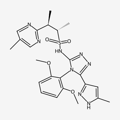 COc1cccc(OC)c1-n1c(NS(=O)(=O)[C@@H](C)[C@H](C)c2ncc(C)cn2)nnc1-c1cc(C)[nH]n1